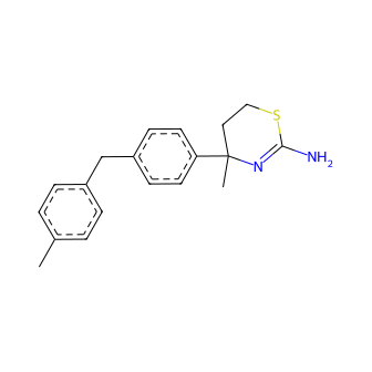 Cc1ccc(Cc2ccc(C3(C)CCSC(N)=N3)cc2)cc1